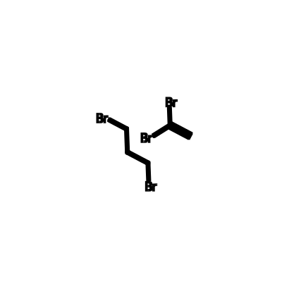 BrCCCBr.C=C(Br)Br